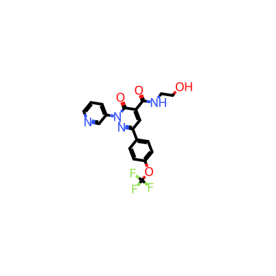 O=C(NCCO)c1cc(-c2ccc(OC(F)(F)F)cc2)nn(-c2cccnc2)c1=O